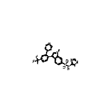 Cn1cc(-c2ccc(C(F)(F)F)cc2-c2ccncc2)c2ccc(S(=O)(=O)Nc3ncns3)cc21